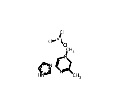 CC1=NC=CN(C)C1.[Cl][Au]([Cl])[Cl].c1c[nH]cn1